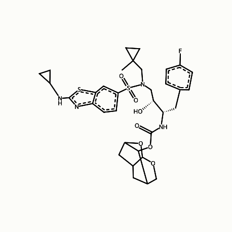 CC1(CN(C[C@@H](O)[C@H](Cc2ccc(F)cc2)NC(=O)OC2C3COC4OC2CC4C3)S(=O)(=O)c2ccc3nc(NC4CC4)sc3c2)CC1